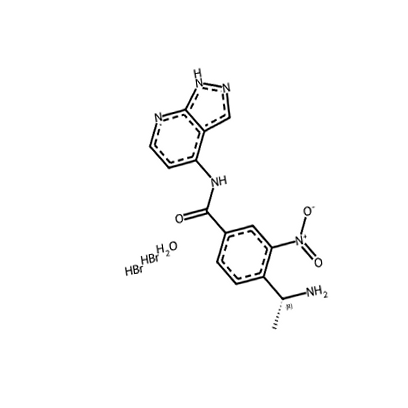 Br.Br.C[C@@H](N)c1ccc(C(=O)Nc2ccnc3[nH]ncc23)cc1[N+](=O)[O-].O